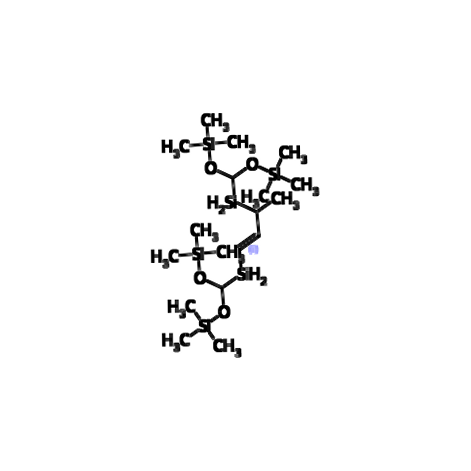 CC(/C=C/[SiH2]C(O[Si](C)(C)C)O[Si](C)(C)C)[SiH2]C(O[Si](C)(C)C)O[Si](C)(C)C